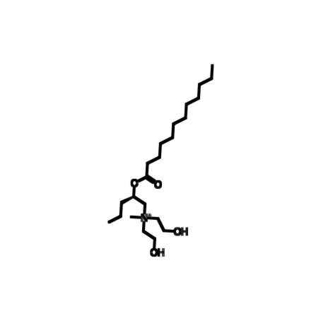 CCCCCCCCCCCC(=O)O[C@H](CCC)C[N+](C)(CCO)CCO